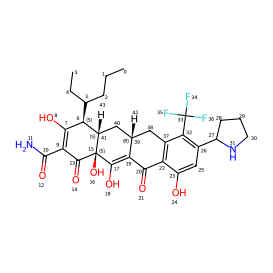 CCCC(CC)[C@@H]1C(O)=C(C(N)=O)C(=O)[C@@]2(O)C(O)=C3C(=O)c4c(O)cc(C5CCCN5)c(C(F)(F)F)c4C[C@H]3C[C@@H]12